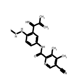 C=C(C)C(=N)c1cc(NC(=O)c2ncc(C#N)c(C)c2C)ccc1NPI